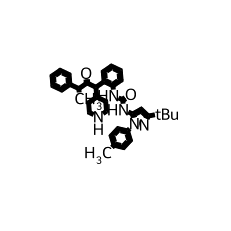 Cc1ccc(-n2nc(C(C)(C)C)cc2NC(=O)Nc2ccccc2C(C(=O)C(C)c2ccccc2)C2CCNCC2)cc1